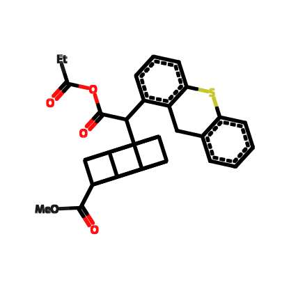 CCC(=O)OC(=O)C(c1cccc2c1Cc1ccccc1S2)C12C3C4C1C1C2C3C41C(=O)OC